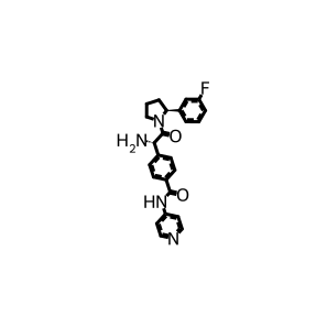 N[C@H](C(=O)N1CCC[C@H]1c1cccc(F)c1)c1ccc(C(=O)Nc2ccncc2)cc1